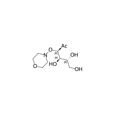 CC(=O)[C@H](ON1CCOCC1)[C@H](O)[C@H](O)CO